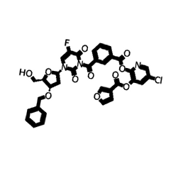 O=C(Oc1cc(Cl)cnc1OC(=O)c1cccc(C(=O)n2c(=O)c(F)cn([C@H]3C[C@H](OCc4ccccc4)[C@@H](CO)O3)c2=O)c1)c1ccoc1